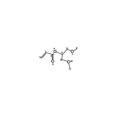 C=CC(=O)OC(COC)COC